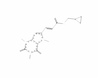 Cn1c(=O)c2c(nc(/C=C/C(=O)NCC3CC3)n2C)n(C)c1=O